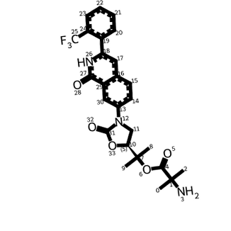 CC(C)(N)C(=O)OC(C)(C)[C@@H]1CN(c2ccc3cc(-c4ccccc4C(F)(F)F)[nH]c(=O)c3c2)C(=O)O1